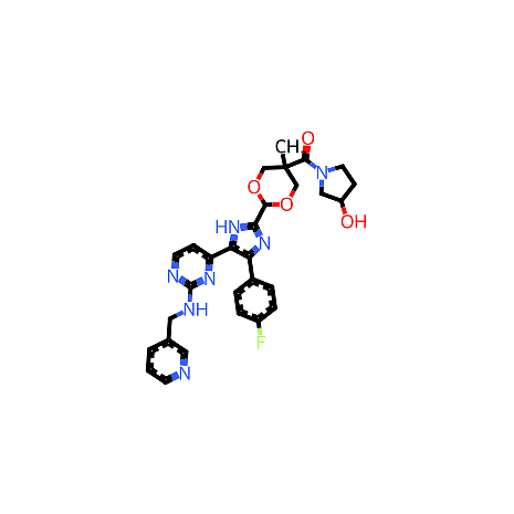 CC1(C(=O)N2CCC(O)C2)COC(c2nc(-c3ccc(F)cc3)c(-c3ccnc(NCc4cccnc4)n3)[nH]2)OC1